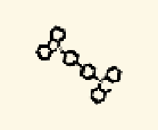 CC1CC=CCC1N(c1ccccc1)c1ccc(-c2ccc(-n3c4ccccc4c4ccccc43)cc2)cc1